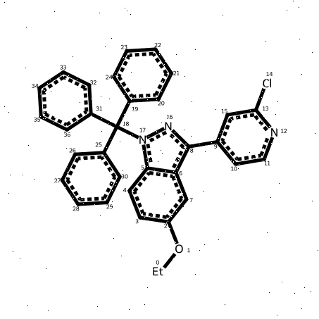 CCOc1ccc2c(c1)c(-c1ccnc(Cl)c1)nn2C(c1ccccc1)(c1ccccc1)c1ccccc1